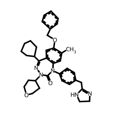 Cc1cc2c(cc1OCc1ccccc1)C(C1CCCCC1)=NN(C1CCOCC1)C(=O)N2c1ccc(CC2=NCCN2)cc1